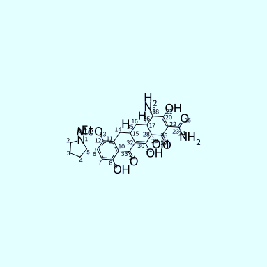 CCN1CCC[C@H]1c1cc(O)c2c(c1OC)C[C@H]1C[C@H]3[C@@H](N)C(O)=C(C(N)=O)C(=O)[C@@]3(O)C(O)=C1C2=O